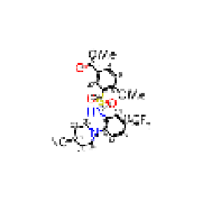 COC(=O)c1ccc(OC)c(S(=O)(=O)Nc2cc(C(F)(F)F)ccc2N2CCC(C#N)CC2)c1